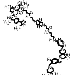 Cc1ncsc1-c1ccc([C@H](C)NC(=O)[C@@H]2C[C@@H](O)CN2C(=O)[C@@H](NC(=O)CCC(=O)NCCN2C[C@@H]3CN(CCC(=O)NCCCNc4cc(N5CCC6(CC5)CN(c5cc(F)c(CN7CCC(C)(C)CC7)cc5F)CC(=O)N6)ncn4)C[C@@H]3C2)C(C)(C)C)cc1